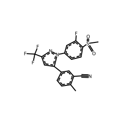 Cc1ccc(-c2cc(C(F)(F)F)nn2-c2ccc(S(C)(=O)=O)c(F)c2)cc1C#N